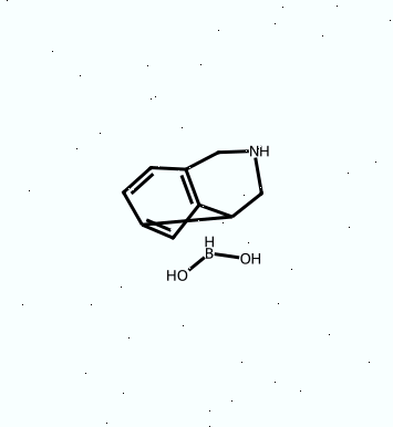 OBO.c1cc2c3cc1C3CNC2